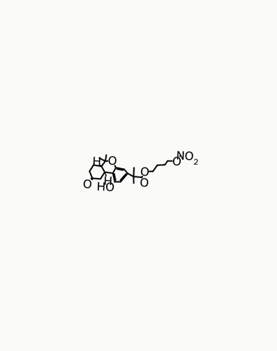 CC(C)(C(=O)OCCCCO[N+](=O)[O-])c1cc(O)c2c(c1)OC(C)(C)[C@H]1CCC(=O)C[C@@H]21